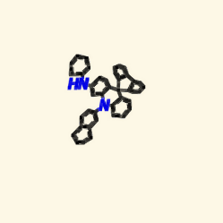 c1ccc(Nc2ccc3c(c2)N(c2ccc4ccccc4c2)c2ccccc2C32c3ccccc3-c3ccccc32)cc1